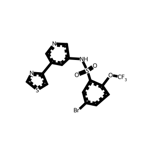 O=S(=O)(Nc1cncc(-c2cscn2)c1)c1cc(Br)ccc1OC(F)(F)F